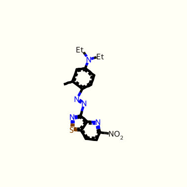 CCN(CC)c1ccc(N=Nc2nsc3ccc([N+](=O)[O-])nc23)c(C)c1